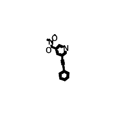 CON(C)C(=O)c1cncc(C#Cc2ccccc2)c1